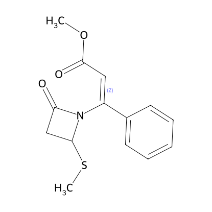 COC(=O)/C=C(/c1ccccc1)N1C(=O)CC1SC